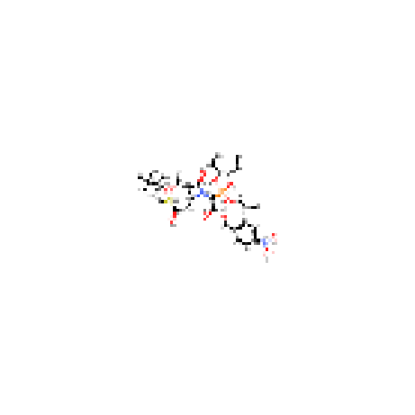 CCCOP(OCCC)(OCCC)=C(C(=O)OCc1ccc([N+](=O)[O-])cc1)N1C(=O)C(C(C)O[Si](C)(C)C(C)(C)C)C1CC(=O)SC